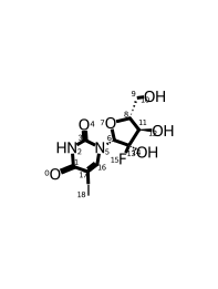 O=c1[nH]c(=O)n([C@@H]2O[C@H](CO)[C@@H](O)[C@@]2(O)F)cc1I